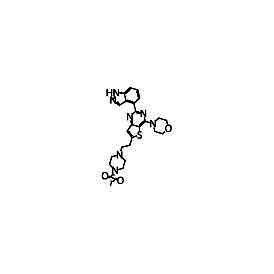 CS(=O)(=O)N1CCN(CCc2cc3nc(-c4cccc5[nH]ncc45)nc(N4CCOCC4)c3s2)CC1